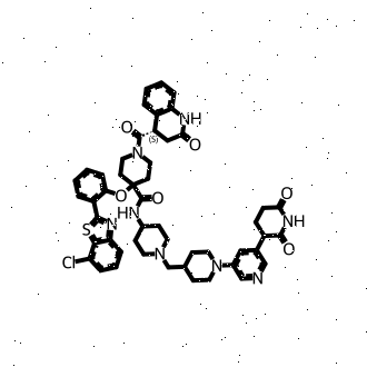 O=C1CCC(c2cncc(N3CCC(CN4CCC(NC(=O)C5(Oc6ccccc6-c6nc7cccc(Cl)c7s6)CCN(C(=O)[C@H]6CC(=O)Nc7ccccc76)CC5)CC4)CC3)c2)C(=O)N1